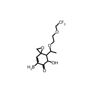 BC1=CC2(CO2)C(C(C)OCCOCC(F)(F)F)C(O)C1=O